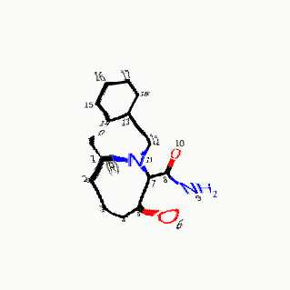 C[C@@H]1CC[CH]C(=O)C(C(N)=O)N1CC1CCCCC1